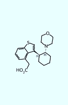 O=C(O)Cc1cccc2scc([C@@H]3CCCC[C@H]3N3CCOCC3)c12